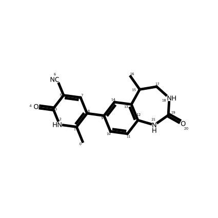 Cc1[nH]c(=O)c(C#N)cc1-c1ccc2c(c1)C(C)CNC(=O)N2